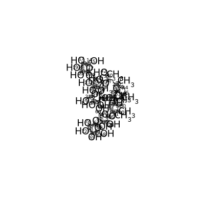 C[C@H](CC[C@@H](O[C@@H]1O[C@H](CO[C@@H]2O[C@H](CO)[C@@H](O)[C@H](O)[C@H]2O)[C@@H](O)[C@H](O)[C@H]1O[C@@H]1O[C@H](CO)[C@@H](O)[C@H](O)[C@H]1O)C(C)(C)O)[C@H]1CC[C@@]2(C)[C@H]3CC=C4[C@@H](CC[C@H](O[C@@H]5O[C@H](CO)[C@@H](O[C@@H]6O[C@H](CO)[C@@H](O)[C@H](O)[C@H]6O)[C@H](O)[C@H]5O)C4(C)C)[C@]3(C)[C@H](O)C[C@]12C